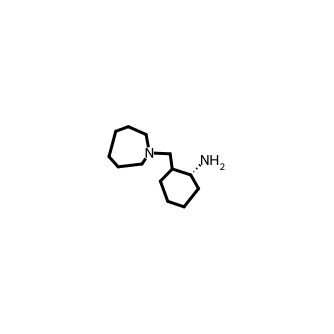 N[C@@H]1CCCCC1CN1CCCCCC1